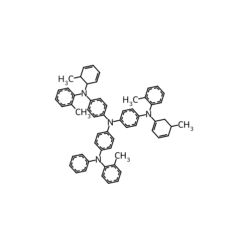 Cc1ccccc1N(C1=CC=CC(C)C1)c1ccc(N(c2ccc(N(c3ccccc3)c3ccccc3C)cc2)c2ccc(N(c3ccccc3C)C3C=CC=CC3C)cc2)cc1